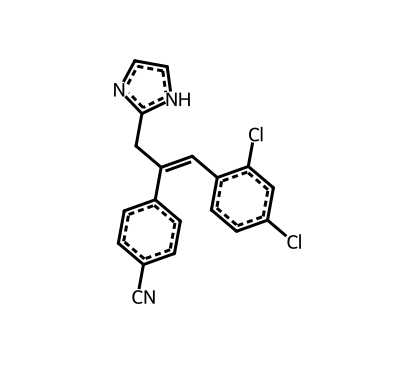 N#Cc1ccc(/C(=C\c2ccc(Cl)cc2Cl)Cc2ncc[nH]2)cc1